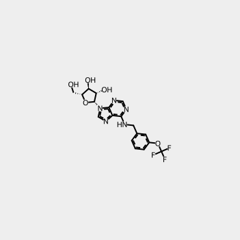 OC[C@H]1O[C@@H](n2cnc3c(NCc4cccc(OC(F)(F)F)c4)ncnc32)[C@@H](O)[C@@H]1O